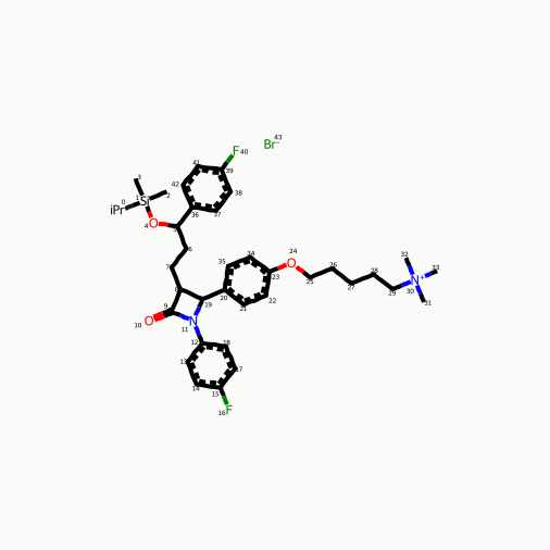 CC(C)[Si](C)(C)OC(CCC1C(=O)N(c2ccc(F)cc2)C1c1ccc(OCCCCC[N+](C)(C)C)cc1)c1ccc(F)cc1.[Br-]